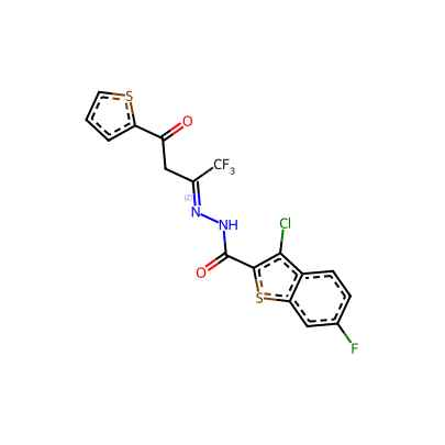 O=C(C/C(=N/NC(=O)c1sc2cc(F)ccc2c1Cl)C(F)(F)F)c1cccs1